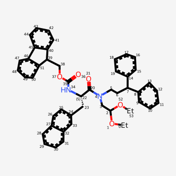 CCOC(CN(CCC(c1ccccc1)c1ccccc1)C(=O)[C@H](Cc1ccc2ccccc2c1)NC(=O)OCC1c2ccccc2-c2ccccc21)OCC